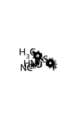 CC1CC[C@@H](CSc2ccc(F)cc2)[C@H](C(=O)NCC#N)C1